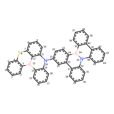 c1ccc2c(c1)Sc1cccc3c1B2c1ccccc1N3c1ccc2c(c1)-c1ccccc1N1B2c2ccccc2-c2ccccc21